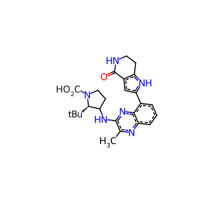 Cc1nc2cccc(-c3cc4c([nH]3)CCNC4=O)c2nc1NC1CCN(C(=O)O)[C@@H]1C(C)(C)C